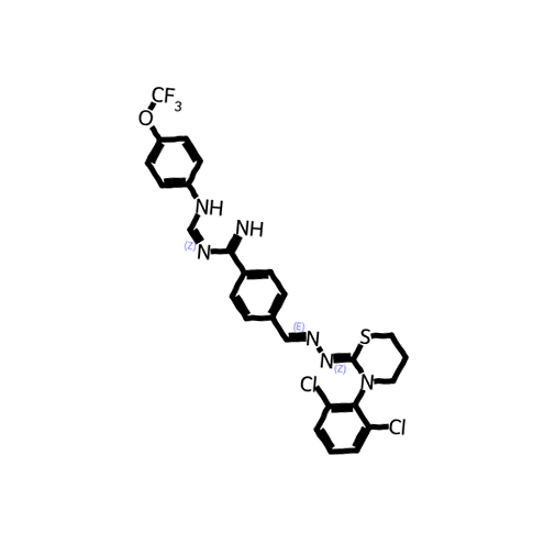 N=C(/N=C\Nc1ccc(OC(F)(F)F)cc1)c1ccc(/C=N/N=C2\SCCCN2c2c(Cl)cccc2Cl)cc1